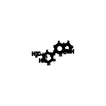 C[C@@H]1CN(c2ccc3cc[nH]c3c2)CCN1